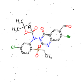 CCS(=O)(=O)c1ccc(Cl)cc1N(C(=O)OC(C)(C)C)n1cnc2cc(Br)c(C=O)cc2c1=O